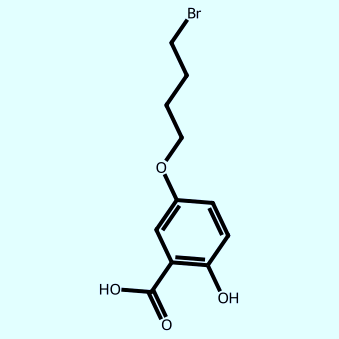 O=C(O)c1cc(OCCCCBr)ccc1O